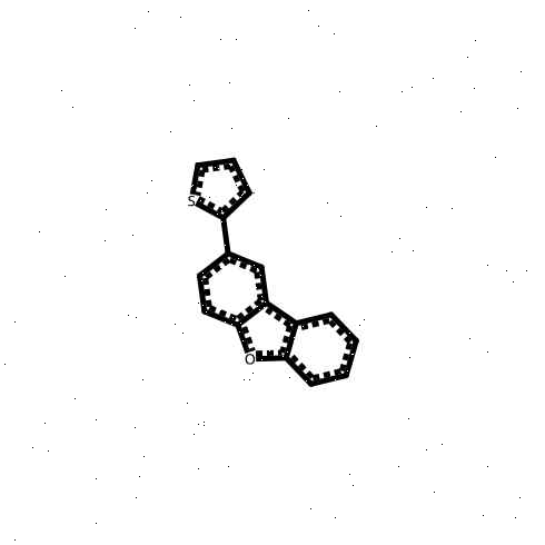 [c]1ccsc1-c1ccc2oc3ccccc3c2c1